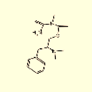 C=C(N)N(C)C(=C)OCC(Cc1ccccc1)N(C)C